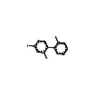 [CH2]c1ccccc1-c1ccc(F)cc1C